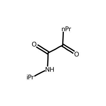 CCCC(=O)C(=O)NC(C)C